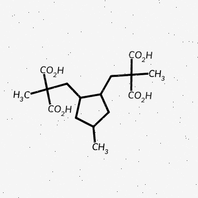 CC1CC(CC(C)(C(=O)O)C(=O)O)C(CC(C)(C(=O)O)C(=O)O)C1